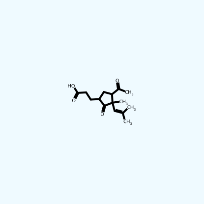 CC(=O)C1CC(CCC(=O)O)C(=O)C1(C)C=C(C)C